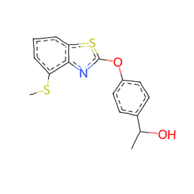 CSc1cccc2sc(Oc3ccc(C(C)O)cc3)nc12